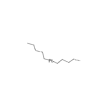 CCCC[CH2][Pt][CH2]CCCC